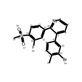 Cc1ccc(-c2cccnc2-c2ccc(S(C)(=O)=O)c(F)c2)cc1Br